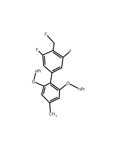 CCCOc1cc(C)cc(OCCC)c1-c1cc(F)c(CF)c(F)c1